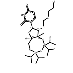 CC(C)[Si]1(C(C)C)OC[C@H]2O[C@@H](n3ccc(=O)[nH]c3=O)[C@H](OCOCCCl)[C@@H]2O[Si](C(C)C)(C(C)C)O1